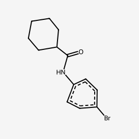 O=C(Nc1ccc(Br)cc1)C1CCCCC1